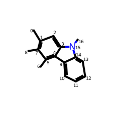 Cc1cc2c(c(C)c1C)c1ccccc1n2C